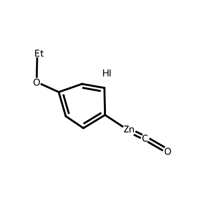 CCOc1cc[c]([Zn]=[C]=O)cc1.I